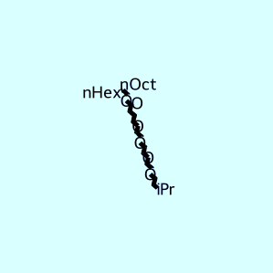 CCCCCCCCC(CCCCCC)COC(=O)CCCOCCOCCOCCOCCC(C)C